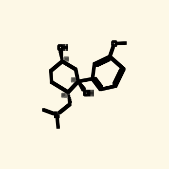 COc1cccc([C@@]2(O)C[C@H](O)CC[C@H]2CN(C)C)c1